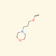 C=COCCCN1CCOCC1